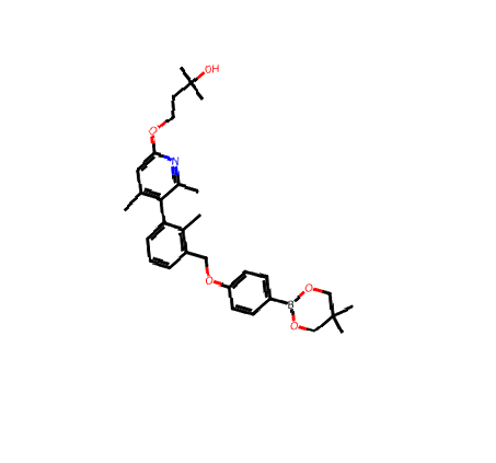 Cc1cc(OCCC(C)(C)O)nc(C)c1-c1cccc(COc2ccc(B3OCC(C)(C)CO3)cc2)c1C